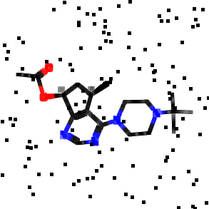 CC(=O)O[C@H]1C[C@@H](C)c2c1ncnc2N1CCN(C(C)(C)C)CC1